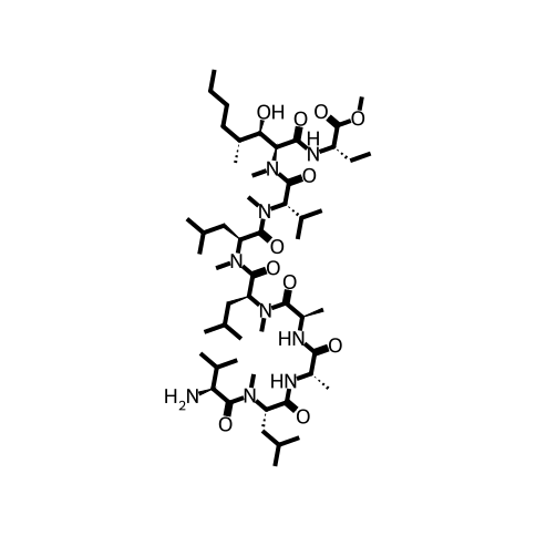 CCCC[C@@H](C)[C@@H](O)[C@@H](C(=O)N[C@@H](CC)C(=O)OC)N(C)C(=O)[C@H](C(C)C)N(C)C(=O)[C@H](CC(C)C)N(C)C(=O)[C@H](CC(C)C)N(C)C(=O)[C@@H](C)NC(=O)[C@H](C)NC(=O)[C@H](CC(C)C)N(C)C(=O)[C@@H](N)C(C)C